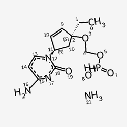 CC[C@@]1(OCO[PH](=O)O)C=C[C@H](n2ccc(N)nc2=O)C1.N